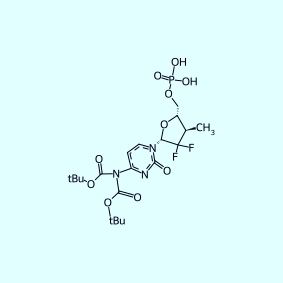 C[C@@H]1[C@@H](COP(=O)(O)O)O[C@@H](n2ccc(N(C(=O)OC(C)(C)C)C(=O)OC(C)(C)C)nc2=O)C1(F)F